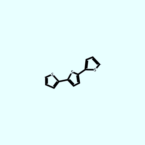 [c]1ccc(-c2ccc(-c3cc[c]s3)s2)s1